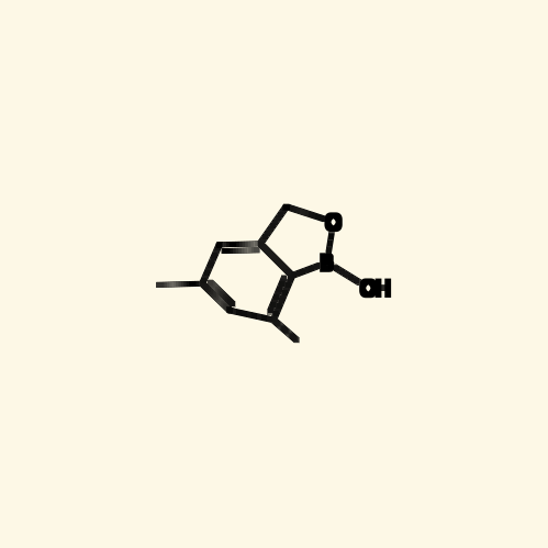 Cc1cc(C)c2c(c1)COB2O